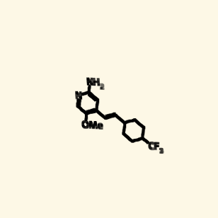 COc1cnc(N)cc1/C=C/C1CCC(C(F)(F)F)CC1